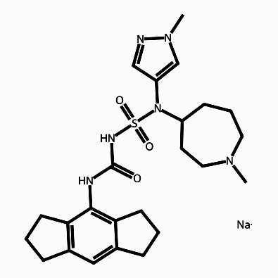 CN1CCCC(N(c2cnn(C)c2)S(=O)(=O)NC(=O)Nc2c3c(cc4c2CCC4)CCC3)CC1.[Na]